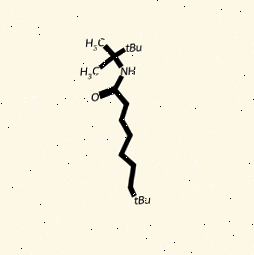 CC(C)(C)CCCCCCC(=O)NC(C)(C)C(C)(C)C